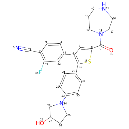 N#Cc1ccc(-c2cc(C(=O)N3CCCNCC3)sc2-c2ccc(N3CCC(O)C3)cc2)cc1F